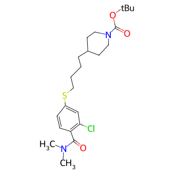 CN(C)C(=O)c1ccc(SCCCCC2CCN(C(=O)OC(C)(C)C)CC2)cc1Cl